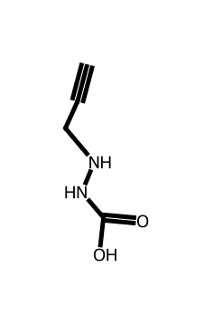 C#CCNNC(=O)O